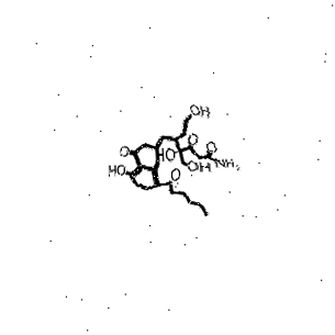 CCCCCC(=O)c1ccc(O)c2c1CC(CC(CCO)[C@](O)(CO)C(=O)CC(N)=O)CC2=O